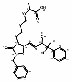 CC(OCCCCN1C(=O)N(Cc2ccccc2)C[C@@H]1C=CC(O)C(F)(F)c1ccccc1)C(=O)O